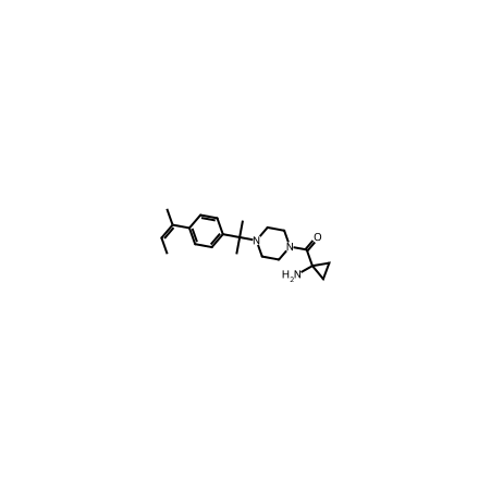 C/C=C(/C)c1ccc(C(C)(C)N2CCN(C(=O)C3(N)CC3)CC2)cc1